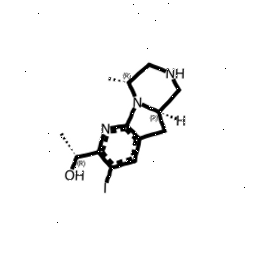 C[C@@H]1CNC[C@H]2Cc3cc(I)c([C@@H](C)O)nc3N21